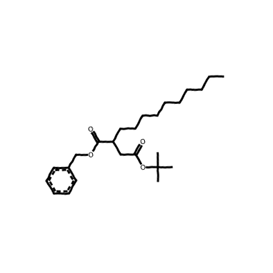 CCCCCCCCCCC(CC(=O)OC(C)(C)C)C(=O)OCc1ccccc1